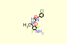 C[C@@H](NC(=O)c1coc(-c2cccc(Cl)c2)n1)c1cc(F)c(N)c(F)c1